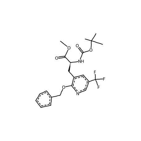 COC(=O)[C@H](Cc1cc(C(F)(F)F)cnc1OCc1ccccc1)NC(=O)OC(C)(C)C